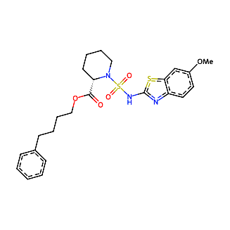 COc1ccc2nc(NS(=O)(=O)N3CCCC[C@H]3C(=O)OCCCCc3ccccc3)sc2c1